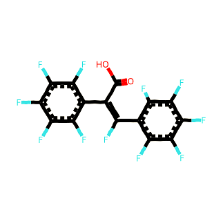 O=C(O)C(=C(F)c1c(F)c(F)c(F)c(F)c1F)c1c(F)c(F)c(F)c(F)c1F